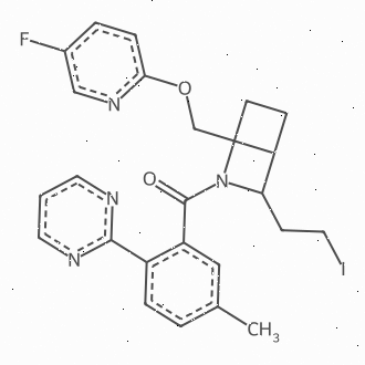 Cc1ccc(-c2ncccn2)c(C(=O)N2C(CCI)C3CCC32COc2ccc(F)cn2)c1